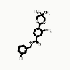 CC1(C)COC(c2ccc(C(=O)NCc3cccc(Cl)c3)cc2[N+](=O)[O-])OC1